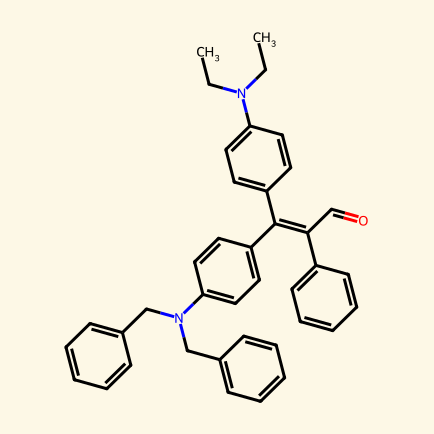 CCN(CC)c1ccc(C(=C(C=O)c2ccccc2)c2ccc(N(Cc3ccccc3)Cc3ccccc3)cc2)cc1